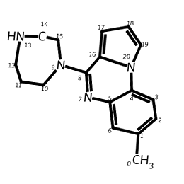 Cc1ccc2c(c1)nc(N1CCCNCC1)c1cccn12